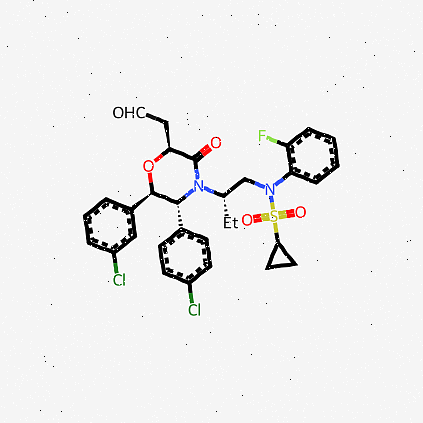 CC[C@@H](CN(c1ccccc1F)S(=O)(=O)C1CC1)N1C(=O)[C@H](CC=O)O[C@H](c2cccc(Cl)c2)[C@H]1c1ccc(Cl)cc1